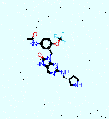 CC(=O)Nc1ccc(OC(F)(F)F)c(Cn2c(=O)[nH]c3cnc(NC[C@@H]4CCNC4)nc32)c1